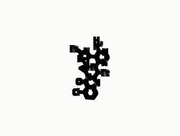 CCc1noc(-c2c(N)ncnc2N[C@@H](CC)c2nc3cccc(Cl)c3c(=O)n2C2CC2)n1